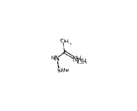 CSNC(C)=N.Cl